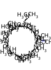 C/C=C/C[C@@H](C)C[C@@H]1C(=O)N[C@H](CC)C(=O)N(C)[C@@H](CSCCN(C)C)C(=O)N(C)[C@@H](CC(C)(C)O)C(=O)N[C@H](C(C)C)C(=O)N(C)[C@H](CC(C)C)C(=O)N[C@H](C)C(=O)N[C@@H](C)C(=O)N(C)[C@@H](CC(C)C)C(=O)N(C)[C@H](CC(C)C)C(=O)N(C)[C@H](C(C)C)C(=O)N1C